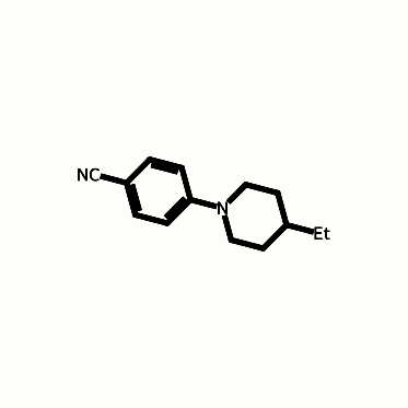 CCC1CCN(c2ccc(C#N)cc2)CC1